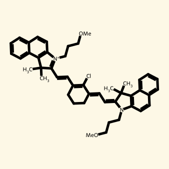 COCCCN1/C(=C/C=C2\CCCC(/C=C/C3=[N+](CCCOC)c4ccc5ccccc5c4C3(C)C)=C2Cl)C(C)(C)c2c1ccc1ccccc21